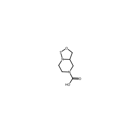 O=C(O)N1CCN2SOCC2C1